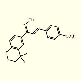 CC1(C)CCSc2ccc(C(C=Cc3ccc(C(=O)O)cc3)=NO)cc21